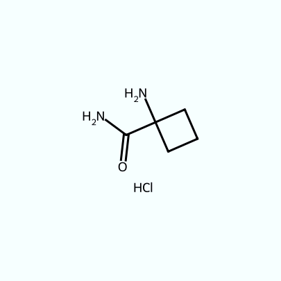 Cl.NC(=O)C1(N)CCC1